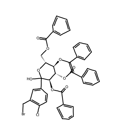 O=C(OC[C@H]1OC(O)(c2ccc(Cl)c(CBr)c2)[C@H](OC(=O)c2ccccc2)[C@@H](OC(=O)c2ccccc2)[C@@H]1OC(=O)c1ccccc1)c1ccccc1